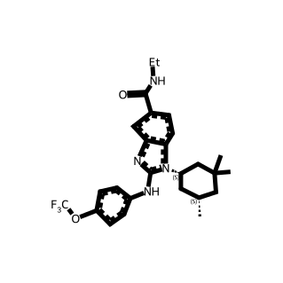 CCNC(=O)c1ccc2c(c1)nc(Nc1ccc(OC(F)(F)F)cc1)n2[C@H]1C[C@@H](C)CC(C)(C)C1